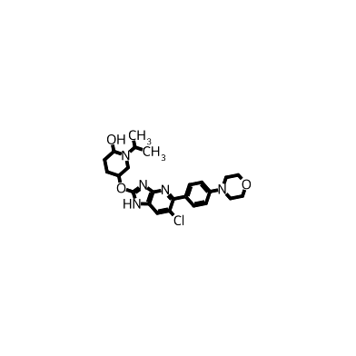 CC(C)N1CC(Oc2nc3nc(-c4ccc(N5CCOCC5)cc4)c(Cl)cc3[nH]2)CCC1O